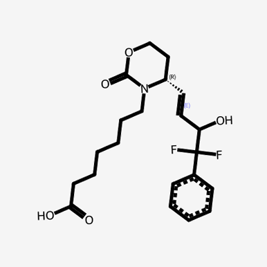 O=C(O)CCCCCCN1C(=O)OCC[C@@H]1/C=C/C(O)C(F)(F)c1ccccc1